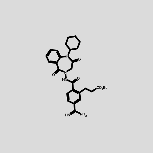 CCOC(=O)CCc1cc(C(=N)N)ccc1C(=O)NN1CC(=O)N(C2CCCCC2)c2ccccc2C1=O